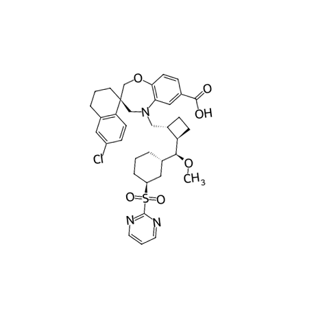 CO[C@@H]([C@H]1CCC[C@H](S(=O)(=O)c2ncccn2)C1)[C@@H]1CC[C@H]1CN1C[C@@]2(CCCc3cc(Cl)ccc32)COc2ccc(C(=O)O)cc21